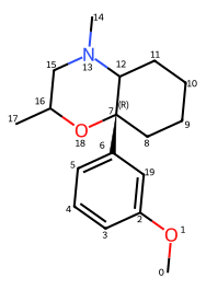 COc1cccc([C@]23CCCCC2N(C)CC(C)O3)c1